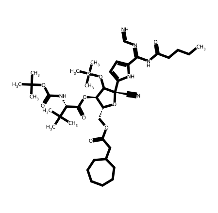 CCCCC(=O)N/C(=N/C=N)c1ccc([C@]2(C#N)O[C@H](COC(=O)CC3CCCCCC3)[C@@H](OC(=O)[C@@H](NC(=O)OC(C)(C)C)C(C)(C)C)C2O[Si](C)(C)C)[nH]1